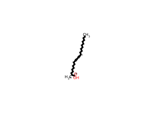 CCCCCCCCCCCCC#CC#CCCCCCCCC(C)C(=O)O